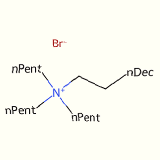 CCCCCCCCCCCC[N+](CCCCC)(CCCCC)CCCCC.[Br-]